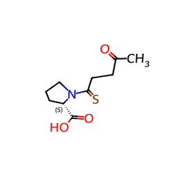 CC(=O)CCC(=S)N1CCC[C@H]1C(=O)O